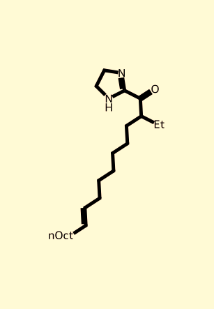 CCCCCCCCC=CCCCCCCC(CC)C(=O)C1=NCCN1